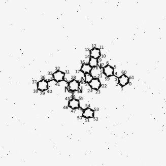 c1ccc(-c2ccc(-n3c4ccccc4c4ccc5c(c6ccccc6n5-c5cc(-c6cccc(-c7ccccc7)c6)nc(-c6cccc(-c7ccccc7)c6)n5)c43)cc2)cc1